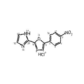 Cl.O=[N+]([O-])c1ccc(-c2ccc(-c3ncc[nH]3)o2)cc1